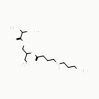 CCCCCCC(C)C(=O)OCC(COC)OC(=O)CCCNCCCC=O